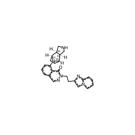 O=c1c2c(N3[C@@H]4CC[C@H]3[C@H]3CNC[C@H]34)cccc2cnn1CCc1cn2ccccc2n1